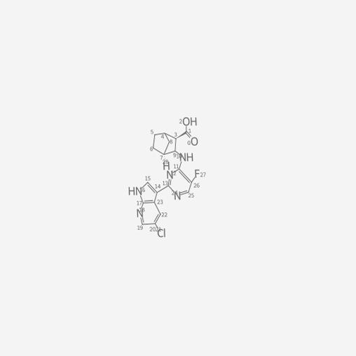 O=C(O)[C@@H]1C2CC[C@@H](C2)C1Nc1nc(-c2c[nH]c3ncc(Cl)cc23)ncc1F